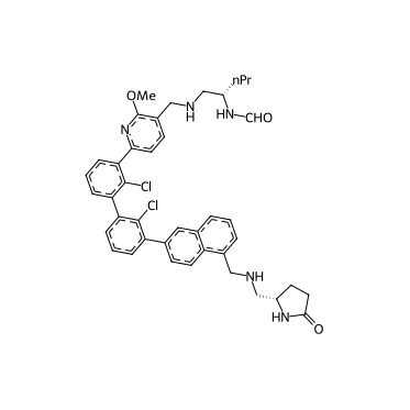 CCC[C@@H](CNCc1ccc(-c2cccc(-c3cccc(-c4ccc5c(CNC[C@@H]6CCC(=O)N6)cccc5c4)c3Cl)c2Cl)nc1OC)NC=O